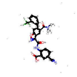 CN(C)C(=O)c1cc2c(C(=O)Nc3ccc(C#N)cc3C(=O)O)noc2cc1-c1ccccc1C(F)(F)F